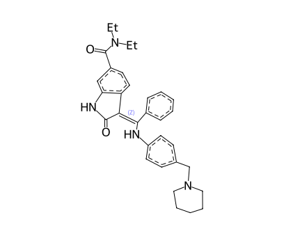 CCN(CC)C(=O)c1ccc2c(c1)NC(=O)/C2=C(\Nc1ccc(CN2CCCCC2)cc1)c1ccccc1